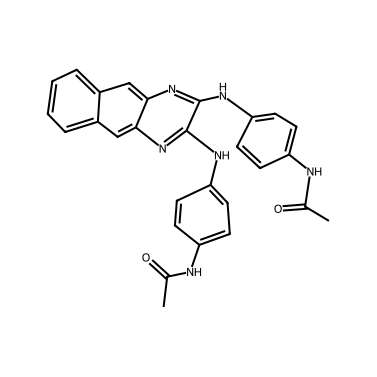 CC(=O)Nc1ccc(Nc2nc3cc4ccccc4cc3nc2Nc2ccc(NC(C)=O)cc2)cc1